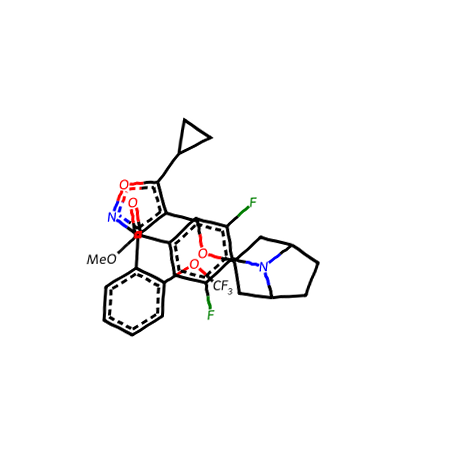 COC(=O)c1cc(F)c(N2C3CCC2CC(OCc2c(-c4ccccc4OC(F)(F)F)noc2C2CC2)C3)c(F)c1